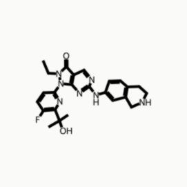 CCn1c(=O)c2cnc(Nc3ccc4c(c3)CNCC4)nc2n1-c1ccc(F)c(C(C)(C)O)n1